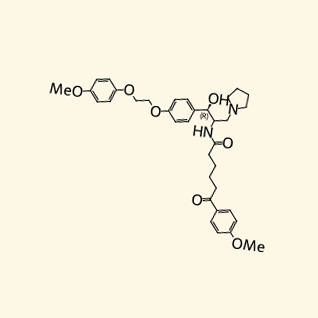 COc1ccc(OCCOc2ccc([C@@H](O)C(CN3CCCC3)NC(=O)CCCCC(=O)c3ccc(OC)cc3)cc2)cc1